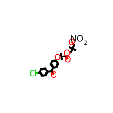 CC(C)(COC(=O)C(C)(C)Oc1ccc(C(=O)c2ccc(Cl)cc2)cc1)CO[N+](=O)[O-]